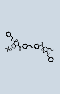 CCCN(CC(=O)Nc1ccc(/C=C/c2ccc(NC(=O)[C@@H]3C[C@@H](OC(C)(C)C)CN3C(=O)OCc3ccccc3)cc2)cc1)C(=O)OCc1ccccc1